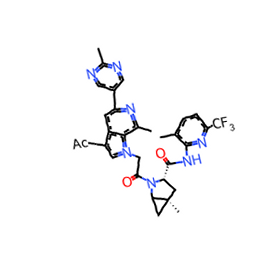 CC(=O)c1cn(CC(=O)N2C3C[C@]3(C)C[C@H]2C(=O)Nc2nc(C(F)(F)F)ccc2C)c2c(C)nc(-c3cnc(C)nc3)cc12